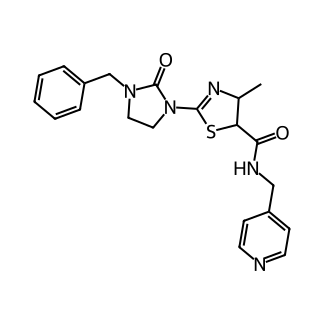 CC1N=C(N2CCN(Cc3ccccc3)C2=O)SC1C(=O)NCc1ccncc1